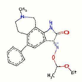 CCOC(C)O/N=C1/C(=O)Nc2c1cc(-c1ccccc1)c1c2CN(C)CC1